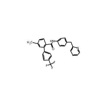 Cc1ccc(C(=O)Nc2ccc(Cc3ccccn3)cc2)c(-c2ccc(C(F)(F)F)cc2)c1